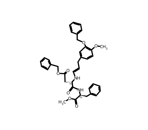 COC(=O)[C@H](Cc1ccccc1)NC(=O)[C@H](CC(=O)OCc1ccccc1)NC=CCc1ccc(OC)c(OCc2ccccc2)c1